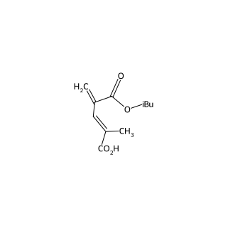 C=C(C=C(C)C(=O)O)C(=O)OC(C)CC